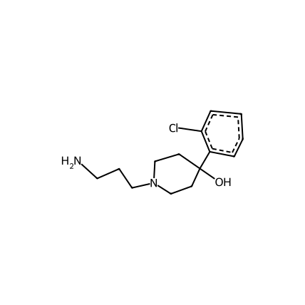 NCCCN1CCC(O)(c2ccccc2Cl)CC1